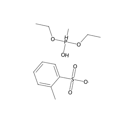 CCO[PH](C)(O)OCC.Cc1ccccc1S([O])(=O)=O